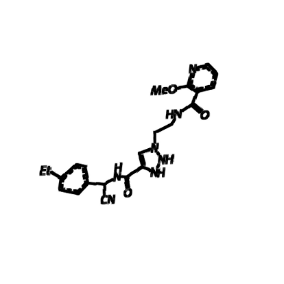 CCc1ccc(C(C#N)NC(=O)C2=CN(CCNC(=O)c3cccnc3OC)NN2)cc1